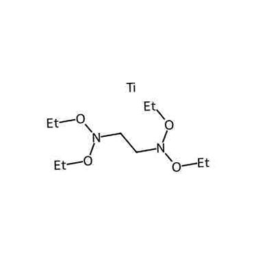 CCON(CCN(OCC)OCC)OCC.[Ti]